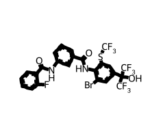 O=C(Nc1c(Br)cc(C(O)(C(F)(F)F)C(F)(F)F)cc1SC(F)(F)F)c1cccc(NC(=O)c2ccccc2F)c1